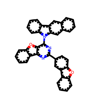 c1ccc2cc3c(cc2c1)c1ccccc1n3-c1nc(-c2ccc3oc4ccccc4c3c2)nc2c1oc1ccccc12